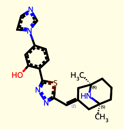 C[C@]12CCC[C@](C)(C/C(=C\c3nnc(-c4ccc(-n5ccnc5)cc4O)s3)C1)N2